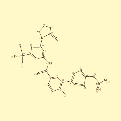 Cc1ccc(C(=O)Nc2cc(N3CCCC3=O)cc(C(F)(F)F)c2)cc1-c1cnc(SC(=N)N)nc1